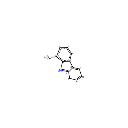 Cc1cccc2c1N=C1CC=CC=C12